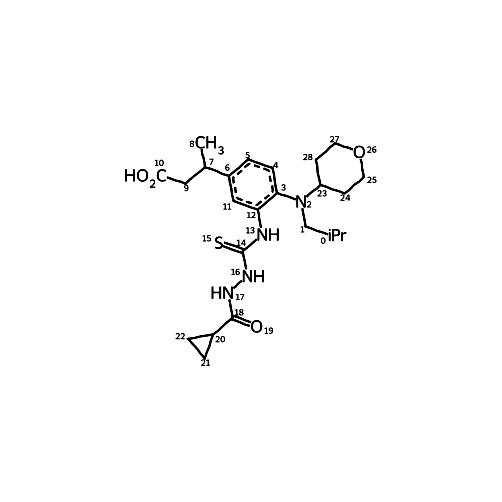 CC(C)CN(c1ccc(C(C)CC(=O)O)cc1NC(=S)NNC(=O)C1CC1)C1CCOCC1